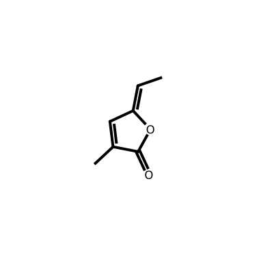 CC=C1C=C(C)C(=O)O1